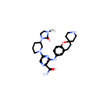 CN1CCN([C@@H]2CCCN(c3cnc(C(N)=O)c(Nc4ccc5c(c4)CCC4(CCNCC4)O5)n3)C2)C1=O